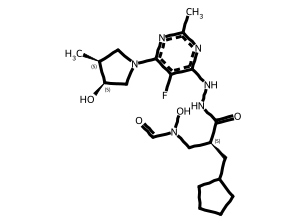 Cc1nc(NNC(=O)[C@@H](CC2CCCC2)CN(O)C=O)c(F)c(N2C[C@@H](O)[C@@H](C)C2)n1